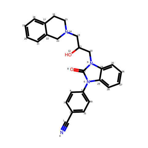 N#Cc1ccc(-n2c(=O)n(CC(O)CN3CCc4ccccc4C3)c3ccccc32)cc1